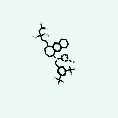 Cn1nnc(N(Cc2cc(C(F)(F)F)cc(C(F)(F)F)c2)C2CCCN(CCC(C)(C)CC(=O)O)c3cc4c(cc32)CCCC4)n1